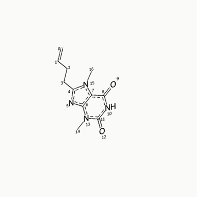 C=CCCc1nc2c(c(=O)[nH]c(=O)n2C)n1C